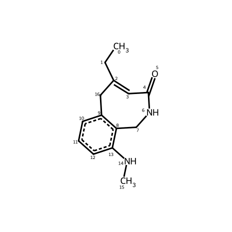 CC/C1=C\C(=O)NCc2c(cccc2NC)C1